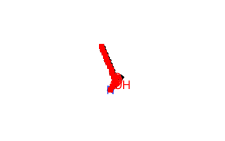 CCCCCCCCCCCCCCCCCCCC(COP(O)OCCCN(C)C)OC(=O)CC